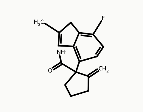 C=C1CCCC1(C([NH])=O)c1ccc(F)c2c1C=C(C)C2